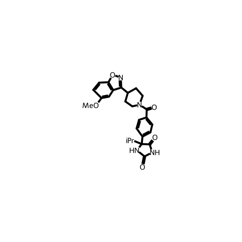 COc1ccc2onc(C3CCN(C(=O)c4ccc(C5(C(C)C)NC(=O)NC5=O)cc4)CC3)c2c1